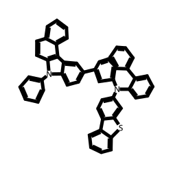 c1ccc(-c2ccccc2N(c2cccc(-c3ccc4c(c3)c3c5ccccc5ccc3n4-c3ccccc3)c2)c2ccc3c(c2)sc2ccccc23)cc1